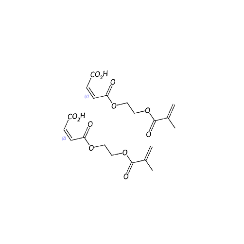 C=C(C)C(=O)OCCOC(=O)/C=C\C(=O)O.C=C(C)C(=O)OCCOC(=O)/C=C\C(=O)O